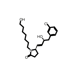 O=C1CC[C@H](/C=C/[C@@H](O)Cc2cccc(Cl)c2)N1CCCCCCCO